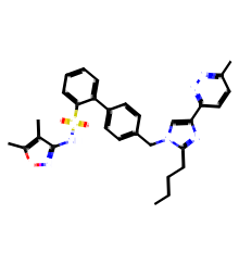 CCCCc1nc(-c2ccc(C)nn2)cn1Cc1ccc(-c2ccccc2S(=O)(=O)Nc2noc(C)c2C)cc1